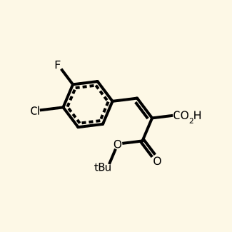 CC(C)(C)OC(=O)C(=Cc1ccc(Cl)c(F)c1)C(=O)O